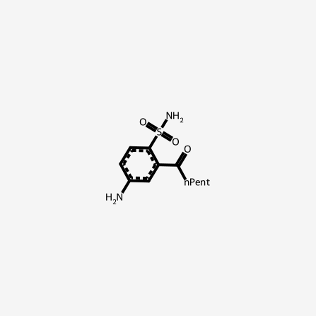 CCCCCC(=O)c1cc(N)ccc1S(N)(=O)=O